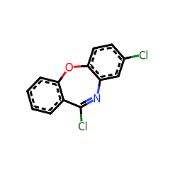 ClC1=Nc2cc(Cl)ccc2Oc2ccccc21